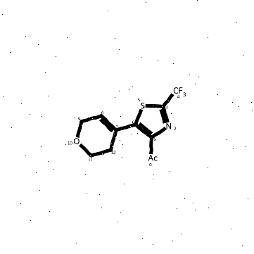 CC(=O)c1nc(C(F)(F)F)sc1C1=CCOCC1